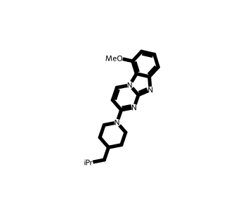 COc1cccc2nc3nc(N4CCC(CC(C)C)CC4)ccn3c12